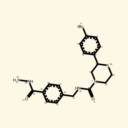 CC(C)(C)c1ccc(C2CN(C(=O)NCc3ccc(C(=O)NN)cc3)CCS2)cc1